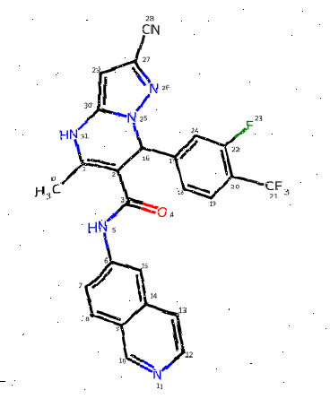 CC1=C(C(=O)Nc2ccc3cnccc3c2)C(c2ccc(C(F)(F)F)c(F)c2)n2nc(C#N)cc2N1